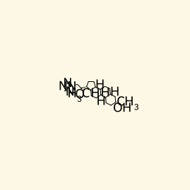 C[C@]1(O)CC[C@H]2[C@H](CC[C@@H]3[C@@H]2CC[C@]2(C)[C@@H](C(=O)Cn4ncnn4)CC[C@@H]32)C1